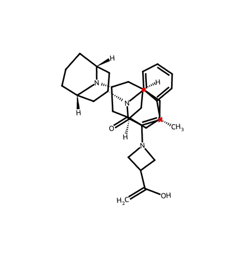 C=C(O)C1CN(c2nc3ccccc3n([C@H]3C[C@H]4CCC[C@@H](C3)N4[C@H]3C[C@@H]4C[C@@H](C)C[C@@H](C4)C3)c2=O)C1